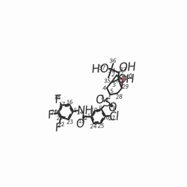 C[C@H]1CC2C[C@@H](S(=O)(=O)c3cc(C(=O)Nc4cc(F)c(F)c(F)c4)ccc3Cl)CC1[C@]2(O)C(O)C(C)(C)O